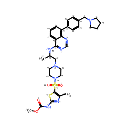 COC(=O)Nc1nc(C)c(S(=O)(=O)N2CCN(CC(C)Nc3ncnc4c(-c5ccc(CN6CCCC6)cc5)cccc34)CC2)s1